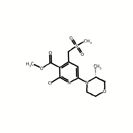 COC(=O)c1c(CS(C)(=O)=O)cc(N2CCOC[C@H]2C)nc1Cl